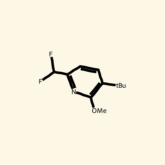 COc1nc(C(F)F)ccc1C(C)(C)C